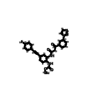 CC(C)(C)OC(=O)Nc1ccc(C#Cc2ccc(F)cc2)cc1NC(=O)CC(=O)c1cccc(-n2ccnn2)c1